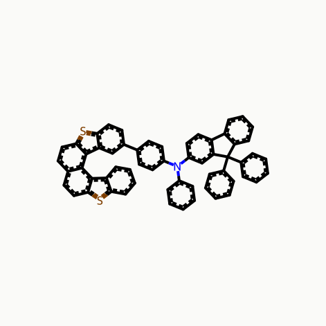 c1ccc(N(c2ccc(-c3ccc4sc5ccc6ccc7sc8ccccc8c7c6c5c4c3)cc2)c2ccc3c(c2)C(c2ccccc2)(c2ccccc2)c2ccccc2-3)cc1